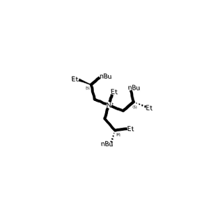 CCCC[C@@H](CC)C[N+](CC)(C[C@@H](CC)CCCC)C[C@@H](CC)CCCC